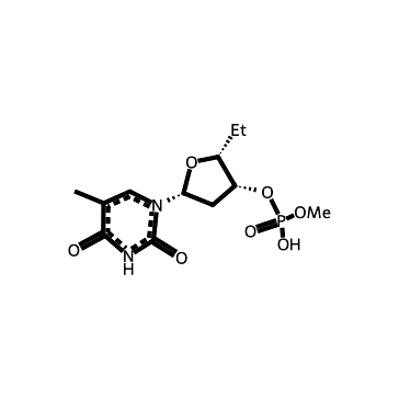 CC[C@H]1O[C@@H](n2cc(C)c(=O)[nH]c2=O)C[C@H]1OP(=O)(O)OC